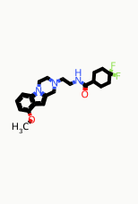 COc1cccc2c1cc1n2CCN(CCNC(=O)C2CCC(F)(F)CC2)C1